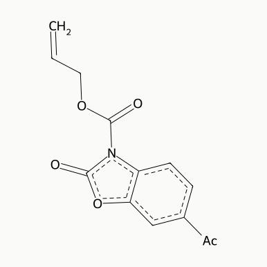 C=CCOC(=O)n1c(=O)oc2cc(C(C)=O)ccc21